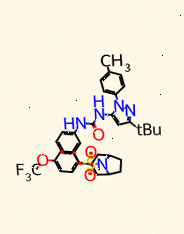 Cc1ccc(-n2nc(C(C)(C)C)cc2NC(=O)Nc2cccc(CC3CC4CCC(C3)N4S(=O)(=O)c3ccc(OC(F)(F)F)cc3)c2)cc1